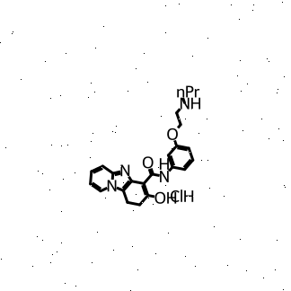 CCCNCCOc1cccc(NC(=O)C2=C(O)CCc3c2nc2ccccn32)c1.Cl